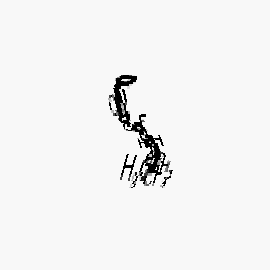 CC(C)(C)OC(=O)N1C[C@@H]2CN(c3cc(F)cc(OC4CCN(C(=O)OCc5ccccc5)CC4)c3)C[C@@H]2C1